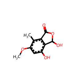 COc1cc(O)c2c(c1C)C(=O)OC2O